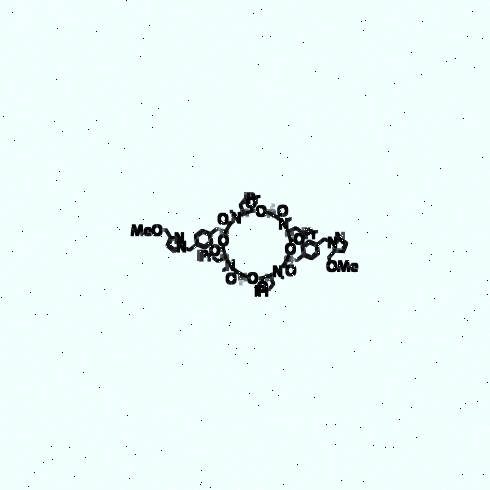 COCc1ccn(Cc2ccc(C[C@H]3OC(=O)[C@H](CC(C)C)N(C)C(=O)[C@@H](C)OC(=O)[C@H](CC(C)C)N(C)C(=O)[C@@H](Cc4ccc(Cn5nccc5COC)cc4)OC(=O)[C@H](CC(C)C)N(C)C(=O)[C@@H](C)OC(=O)[C@H](CC(C)C)N(C)C3=O)cc2)n1